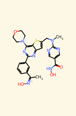 C/C(=N/O)c1cccc(-c2nc(N3CCOCC3)c3sc(CN(C)c4ncc(C(=O)NO)cn4)cc3n2)c1